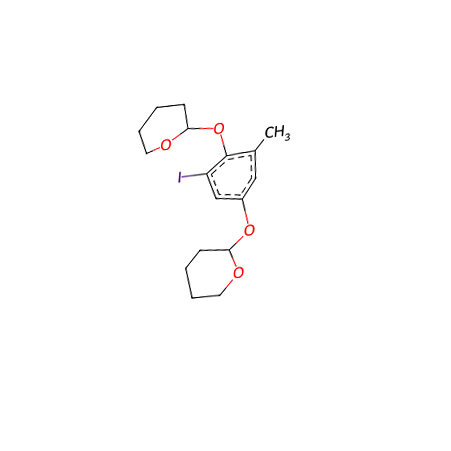 Cc1cc(OC2CCCCO2)cc(I)c1OC1CCCCO1